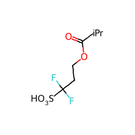 CC(C)C(=O)OCCC(F)(F)S(=O)(=O)O